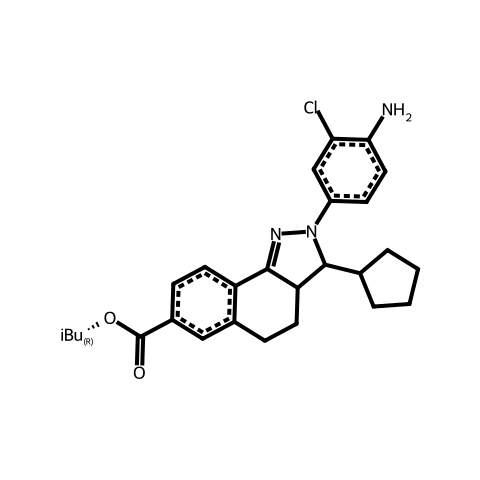 CC[C@@H](C)OC(=O)c1ccc2c(c1)CCC1C2=NN(c2ccc(N)c(Cl)c2)C1C1CCCC1